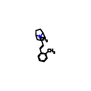 Cc1ccccc1C=CC1CC2CCC(C1)N2C